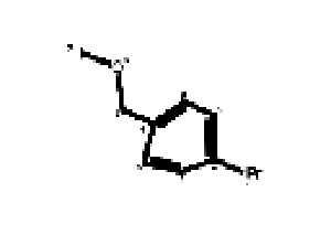 CC(C)c1ccc(COI)cc1